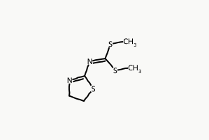 CSC(=NC1=NCCS1)SC